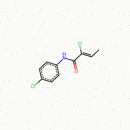 CC=C(Cl)C(=O)Nc1ccc(Cl)cc1